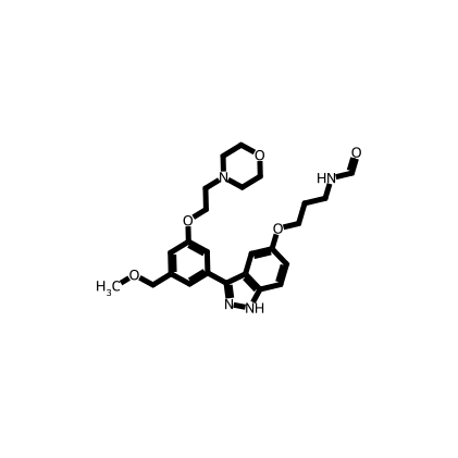 COCc1cc(OCCN2CCOCC2)cc(-c2n[nH]c3ccc(OCCCNC=O)cc23)c1